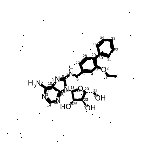 CCOc1cc(CNc2nc3c(N)ncnc3n2[C@@H]2O[C@H](CO)[C@@H](O)[C@H]2O)ccc1-c1ccccc1